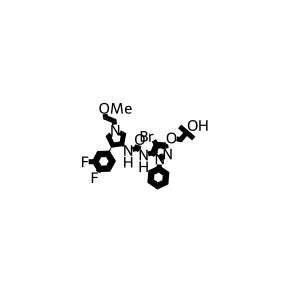 COCCN1C[C@@H](NC(=O)Nc2c(Br)c(OCC(C)(C)O)nn2-c2ccccc2)[C@H](c2ccc(F)c(F)c2)C1